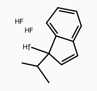 CC(C)[C]1([Hf])C=Cc2ccccc21.F.F